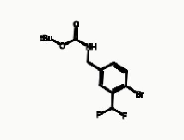 CC(C)(C)OC(=O)NCc1ccc(Br)c(C(F)F)c1